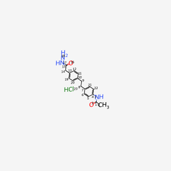 CC(=O)Nc1ccc(CCc2ccc(CC(=O)NN)cc2)cc1.Cl